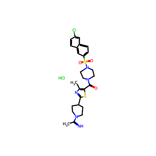 CC(=N)N1CCC(c2nc(C)c(C(=O)N3CCN(S(=O)(=O)c4ccc5cc(Cl)ccc5c4)CC3)s2)CC1.Cl